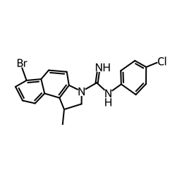 CC1CN(C(=N)Nc2ccc(Cl)cc2)c2ccc3c(Br)cccc3c21